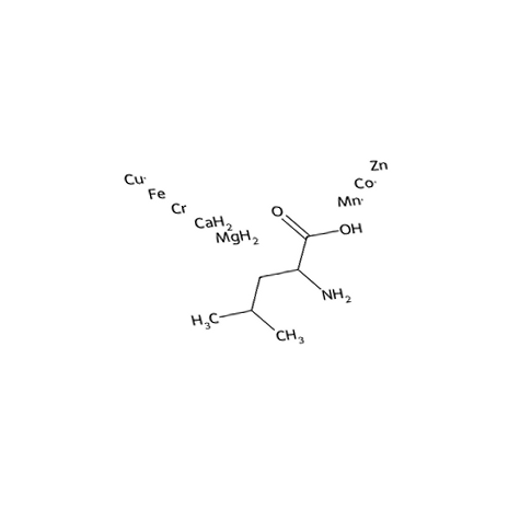 CC(C)CC(N)C(=O)O.[CaH2].[Co].[Cr].[Cu].[Fe].[MgH2].[Mn].[Zn]